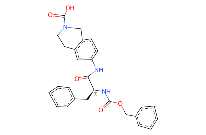 O=C(N[C@@H](Cc1ccccc1)C(=O)Nc1ccc2c(c1)CCN(C(=O)O)C2)OCc1ccccc1